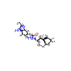 Cc1nc2cc(C(=O)N[C@H]3CCc4ccccc4C3)ccc2[nH]1